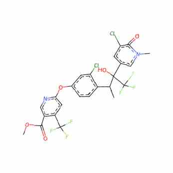 COC(=O)c1cnc(Oc2ccc(C(C)C(O)(c3cc(Cl)c(=O)n(C)c3)C(F)(F)F)c(Cl)c2)cc1C(F)(F)F